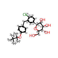 [2H]C([2H])([2H])C([2H])([2H])Oc1ccc(Cc2cc([C@@H]3O[C@H](CO)[C@@H](O)[C@H](O)[C@H]3O)ccc2Cl)cc1